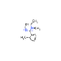 C=C/[N+](C)=C(\N=C/CC)c1ccccc1C